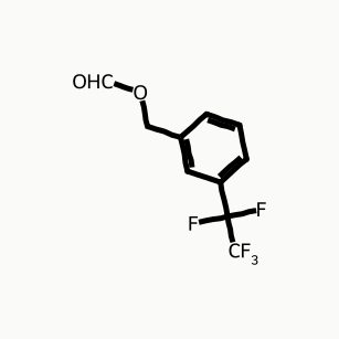 O=COCc1cccc(C(F)(F)C(F)(F)F)c1